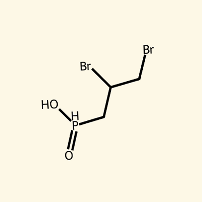 O=[PH](O)CC(Br)CBr